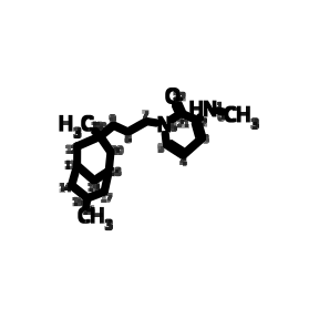 CNc1cccn(CCCC2(C)CC3CC(C)CC(C3)C2)c1=O